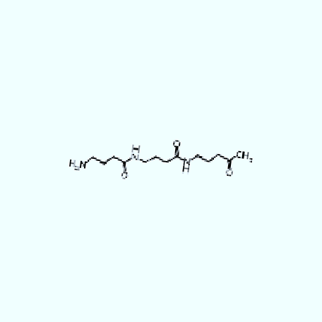 CC(=O)CCCNC(=O)CCCNC(=O)CCCN